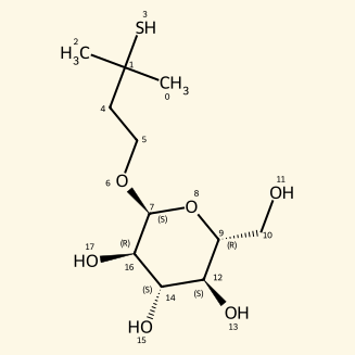 CC(C)(S)CCO[C@H]1O[C@H](CO)[C@@H](O)[C@H](O)[C@H]1O